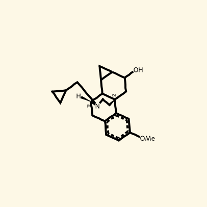 COc1ccc2c(c1)[C@]13CCN(CC4CC4)[C@H](C2)C1C1CC1C(O)C3